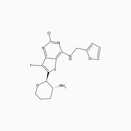 N[C@@H]1CCCO[C@H]1c1sc2c(NCc3ccco3)nc(Cl)nc2c1I